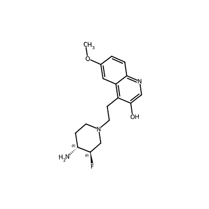 COc1ccc2ncc(O)c(CCN3CC[C@@H](N)[C@H](F)C3)c2c1